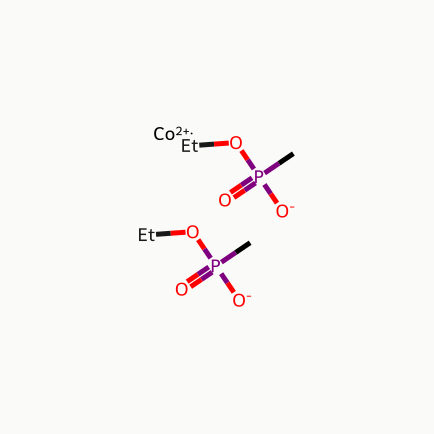 CCOP(C)(=O)[O-].CCOP(C)(=O)[O-].[Co+2]